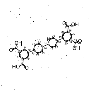 O=C(O)c1cc(C(=O)O)cc(-c2ccc(-c3cnc(-c4cc(C(=O)O)cc(C(=O)O)c4)cn3)cc2)c1